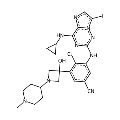 CN1CCC(N2CC(O)(c3cc(C#N)cc(Nc4nc(NC5CC5)c5ncc(I)n5n4)c3Cl)C2)CC1